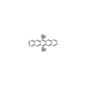 Brc1c2cc3ccccc3cc2c(Br)c2cc3ccccc3cc12